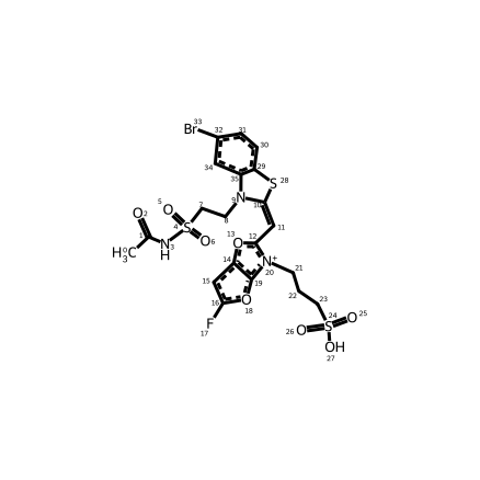 CC(=O)NS(=O)(=O)CCN1C(=Cc2oc3cc(F)oc3[n+]2CCCS(=O)(=O)O)Sc2ccc(Br)cc21